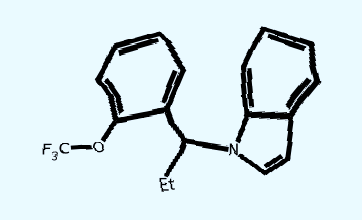 CCC(c1ccccc1OC(F)(F)F)n1ccc2ccccc21